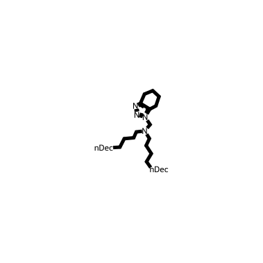 CCCCCCCCCCCCCCN(CCCCCCCCCCCCCC)Cn1nnc2c1CCCC2